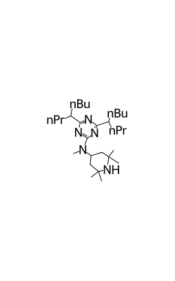 CCCCC(CCC)c1nc(C(CCC)CCCC)nc(N(C)C2CC(C)(C)NC(C)(C)C2)n1